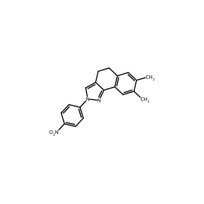 Cc1cc2c(cc1C)-c1nn(-c3ccc([N+](=O)[O-])cc3)cc1CC2